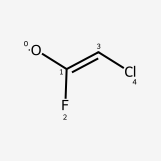 [O]C(F)=CCl